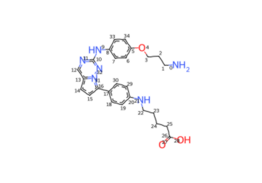 NCCCOc1ccc(Nc2ncc3ccc(-c4ccc(NCCCCC(=O)O)cc4)n3n2)cc1